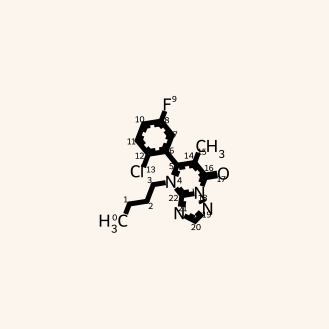 CCCCn1c(-c2cc(F)ccc2Cl)c(C)c(=O)n2ncnc12